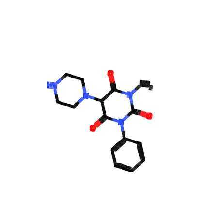 O=C1C(N2CCNCC2)C(=O)N([N+](=O)[O-])C(=O)N1c1ccccc1